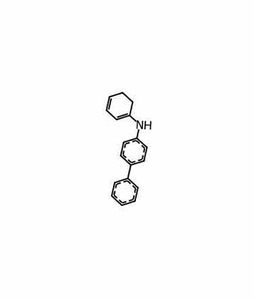 C1=CCCC(Nc2ccc(-c3ccccc3)cc2)=C1